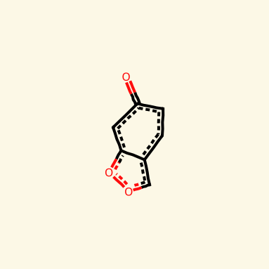 O=c1ccc2cooc-2c1